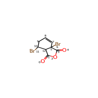 O=C1OC(=O)C2(Br)C=CCC(Br)C12